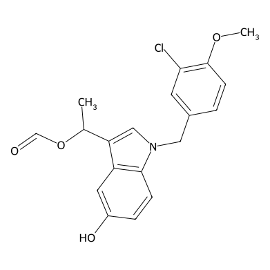 COc1ccc(Cn2cc(C(C)OC=O)c3cc(O)ccc32)cc1Cl